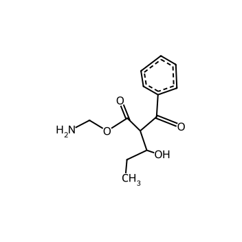 CCC(O)C(C(=O)OCN)C(=O)c1ccccc1